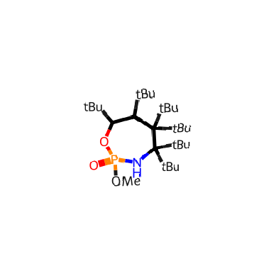 COP1(=O)NC(C(C)(C)C)(C(C)(C)C)C(C(C)(C)C)(C(C)(C)C)C(C(C)(C)C)C(C(C)(C)C)O1